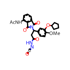 COc1ccc(C(CC(=O)NN=C=O)N2C(=O)c3cccc(NC(C)=O)c3C2=O)cc1OC1CCCC1